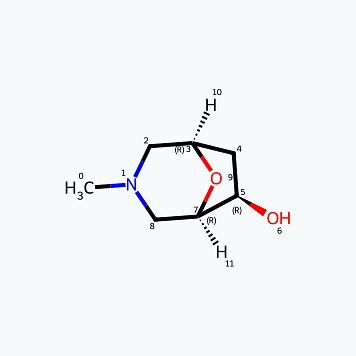 CN1C[C@H]2C[C@@H](O)[C@@H](C1)O2